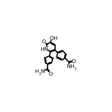 NC(=O)c1ccc(-c2cc(O)c(=O)[nH]c2-c2ccc(C(N)=O)cc2)cc1